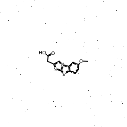 COc1ccc2sc3nc(CC(=O)O)cn3c2c1